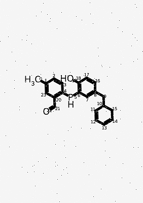 Cc1ccc(Pc2cc(CC3C=CC=CC3)ccc2O)c(C=O)c1